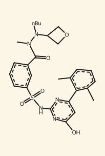 CCCCN(C1COC1)N(C)C(=O)c1cccc(S(=O)(=O)Nc2nc(O)cc(-c3c(C)cccc3C)n2)c1